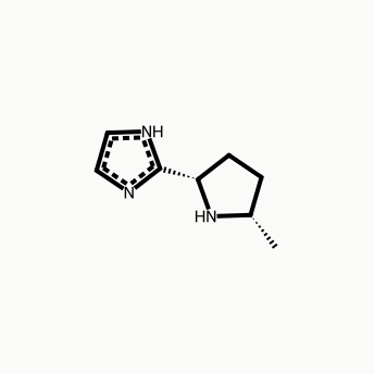 C[C@H]1CC[C@@H](c2ncc[nH]2)N1